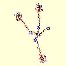 CC(=O)N[C@H]1[C@H]2OC[C@](COCCOCCOCCOCCn3cc(COCC(COCc4cn(CCCCCOCCOCCOO[C@]56CO[C@@H](O5)[C@H](NC(C)=O)[C@H]5OC(C)(C)O[C@H]56)nn4)(COCc4cn(CCCCCOCCOCCOO[C@]56CO[C@@H](O5)[C@H](NC(C)=O)[C@H]5OC(C)(C)O[C@H]56)nn4)NC(=O)CCCCCSSc4ccccn4)nn3)(O2)[C@@H]2OC(C)(C)O[C@H]12